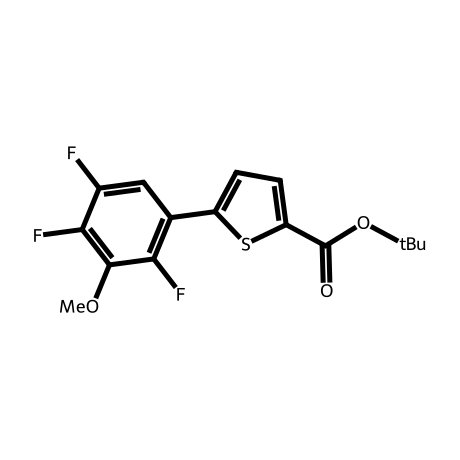 COc1c(F)c(F)cc(-c2ccc(C(=O)OC(C)(C)C)s2)c1F